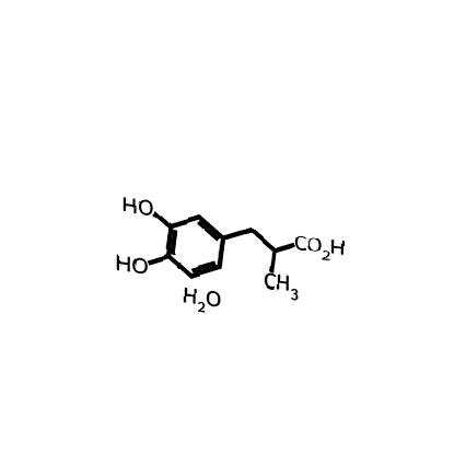 CC(Cc1ccc(O)c(O)c1)C(=O)O.O